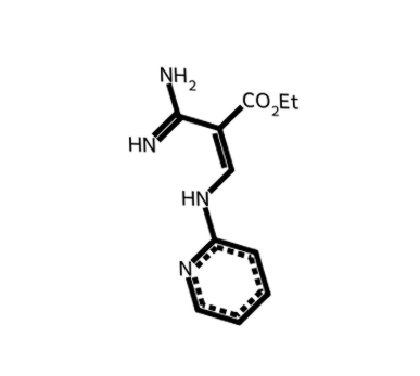 CCOC(=O)/C(=C/Nc1ccccn1)C(=N)N